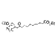 C=C(CC(=O)CCCCCCCCCC(=O)OCC)CC(=O)OCC